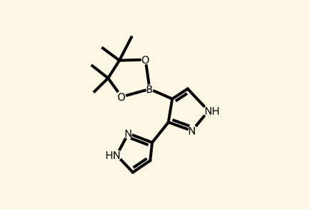 CC1(C)OB(c2c[nH]nc2-c2cc[nH]n2)OC1(C)C